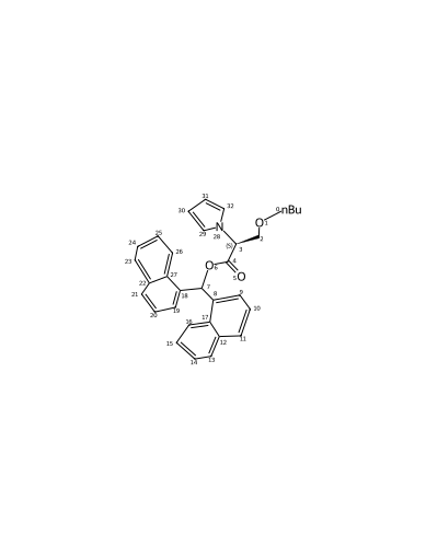 CCCCOC[C@@H](C(=O)OC(c1cccc2ccccc12)c1cccc2ccccc12)n1cccc1